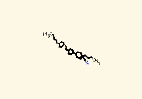 CCCCC[C@H]1CC[C@H](CCc2ccc(C3CCC(C#N)(CCCC)CC3)cc2)CC1